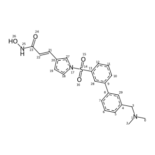 CN(C)Cc1cccc(-c2cccc(S(=O)(=O)n3ccc(/C=C/C(=O)NO)c3)c2)c1